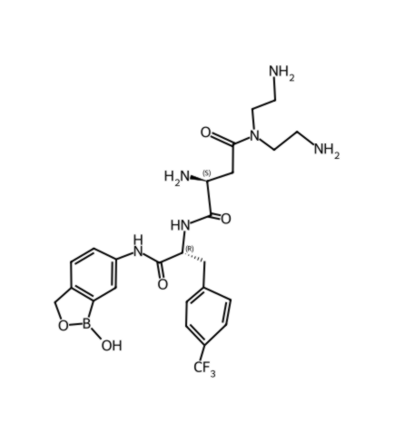 NCCN(CCN)C(=O)C[C@H](N)C(=O)N[C@H](Cc1ccc(C(F)(F)F)cc1)C(=O)Nc1ccc2c(c1)B(O)OC2